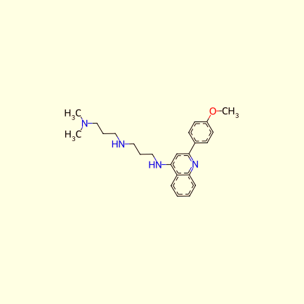 COc1ccc(-c2cc(NCCCNCCCN(C)C)c3ccccc3n2)cc1